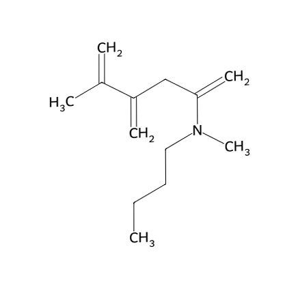 C=C(C)C(=C)CC(=C)N(C)CCCC